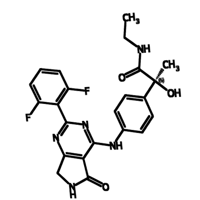 CCNC(=O)[C@@](C)(O)c1ccc(Nc2nc(-c3c(F)cccc3F)nc3c2C(=O)NC3)cc1